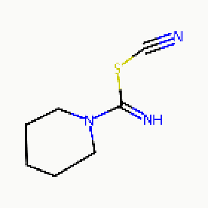 N#CSC(=N)N1CCCCC1